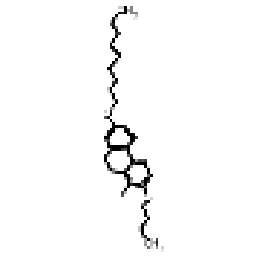 CCCCCCCCCOc1ccc2c(c1)CCc1c-2ccc(OCCCC)c1F